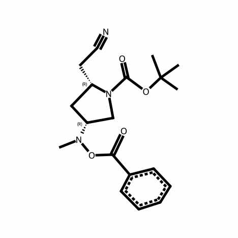 CN(OC(=O)c1ccccc1)[C@@H]1C[C@H](CC#N)N(C(=O)OC(C)(C)C)C1